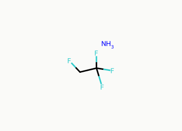 FCC(F)(F)F.N